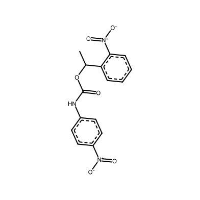 CC(OC(=O)Nc1ccc([N+](=O)[O-])cc1)c1ccccc1[N+](=O)[O-]